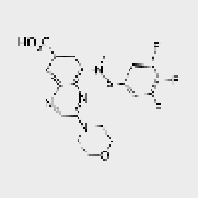 CN(Sc1cc(F)c(F)c(F)c1)c1cc(C(=O)O)cc2ncc(N3CCOCC3)nc12